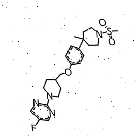 CC1(c2ccc(OCC3CCN(c4ncc(F)cn4)CC3)cc2)CCN(S(C)(=O)=O)CC1